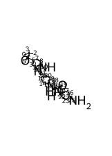 CC(C)(C)C(=O)c1ccc2[nH]c(-c3ccc4[nH]c(C(=O)Nc5ccc(N)cc5)cc4c3)nc2c1